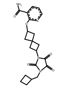 NC(=O)c1cccnc1OC1CC2(C1)CC(N1C(=O)C(=O)N(CC3CCC3)C1=O)C2